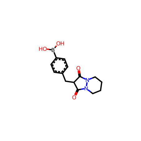 O=C1C(Cc2ccc(B(O)O)cc2)C(=O)N2CCCCN12